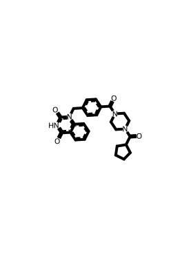 O=C(c1ccc(Cn2c(=O)[nH]c(=O)c3ccccc32)cc1)N1CCN(C(=O)C2CCCC2)CC1